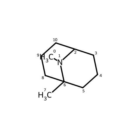 CN1C2CCCC1(C)CCC2